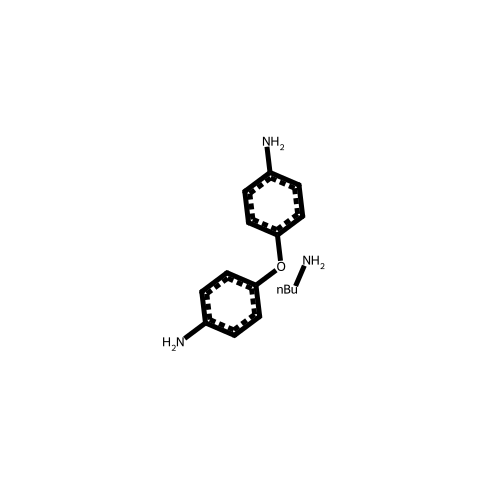 CCCCN.Nc1ccc(Oc2ccc(N)cc2)cc1